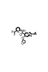 O=C(Nc1cccc(C(F)F)n1)c1cn2cc(C3CC3)nc2cc1OC1CCOC1